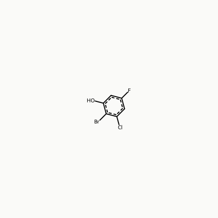 Oc1cc(F)cc(Cl)c1Br